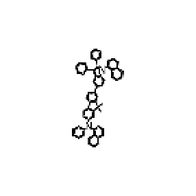 CC1(C)c2cc(-c3ccc4c(c3)c(-c3ccccc3)c(-c3ccccc3)n4-c3cccc4ccccc34)ccc2-c2ccc(N(c3ccccc3)c3cccc4ccccc34)cc21